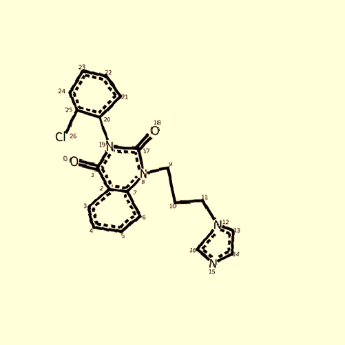 O=c1c2ccccc2n(CCCn2ccnc2)c(=O)n1-c1ccccc1Cl